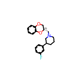 Fc1cccc(C2CCCN(C[C@H]3COc4ccccc4O3)C2)c1